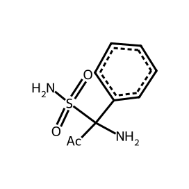 CC(=O)C(N)(c1ccccc1)S(N)(=O)=O